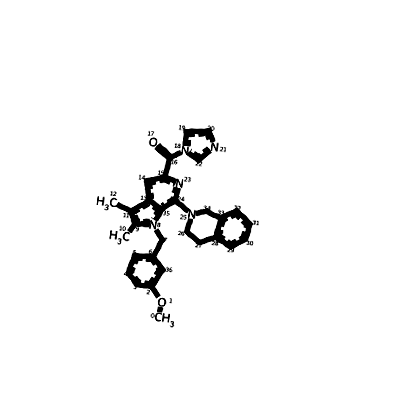 COc1cccc(Cn2c(C)c(C)c3cc(C(=O)n4ccnc4)nc(N4CCc5ccccc5C4)c32)c1